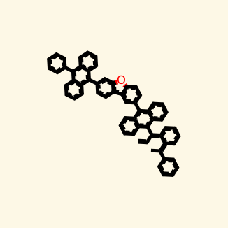 C=C/C(c1c2ccccc2c(-c2ccc3oc4cc(-c5c6ccccc6c(-c6ccccc6)c6ccccc56)ccc4c3c2)c2ccccc12)=c1/cccc/c1=C(/C)c1ccccc1